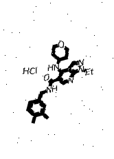 CCn1ncc2c(NC3CCOCC3)c(C(=O)NCc3ccc(C)c(C)c3)cnc21.Cl